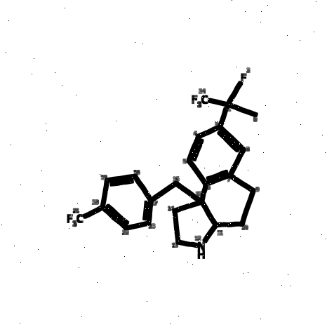 CC(F)(c1ccc2c(c1)CCC1NCCC21Cc1ccc(C(F)(F)F)cc1)C(F)(F)F